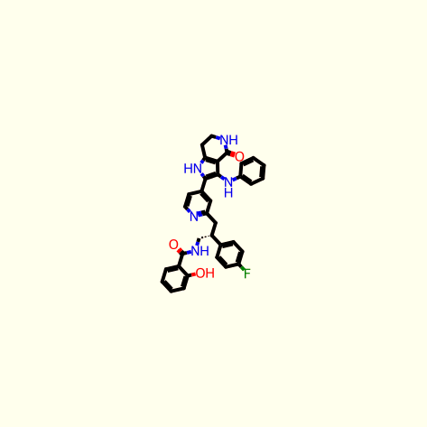 O=C(NC[C@H](Cc1cc(-c2[nH]c3c(c2Nc2ccccc2)C(=O)NCC3)ccn1)c1ccc(F)cc1)c1ccccc1O